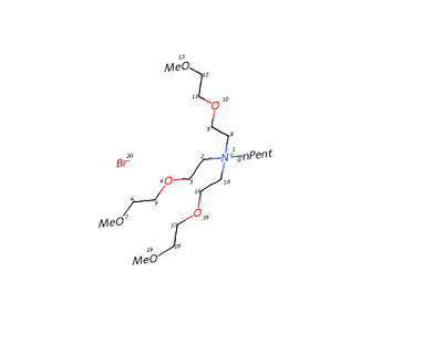 CCCCC[N+](CCOCCOC)(CCOCCOC)CCOCCOC.[Br-]